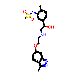 Cc1ccc(C(O)CNCCOc2ccc3c(C)n[nH]c3c2)cc1NS(C)(=O)=O